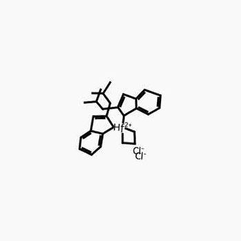 CC(C)CC1=Cc2ccccc2[CH]1[Hf+2]1([CH]2C(CC(C)C)=Cc3ccccc32)[CH2]C[CH2]1.[Cl-].[Cl-]